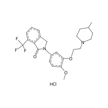 COc1ccc(N2Cc3cccc(C(F)(F)F)c3C2=O)cc1OCCN1CCC(C)CC1.Cl